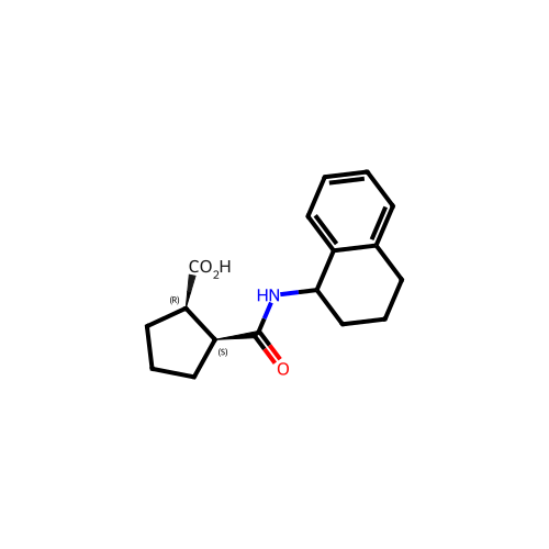 O=C(NC1CCCc2ccccc21)[C@H]1CCC[C@H]1C(=O)O